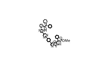 COC(=O)N[C@@H](C(=O)N(C)[C@@H](C)c1ncc(-c2ccc(-c3ncc(-c4cnc([C@@H]5CCCN5C(=O)[C@@H](c5ccccc5)N5CCCCC5)[nH]4)cn3)cc2)[nH]1)c1ccccc1